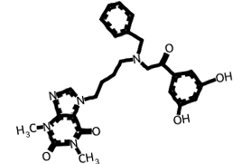 Cn1c(=O)c2c(ncn2CCCCN(CC(=O)c2cc(O)cc(O)c2)Cc2ccccc2)n(C)c1=O